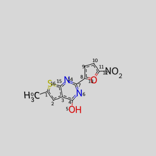 Cc1cc2c(O)nc(-c3ccc([N+](=O)[O-])o3)nc2s1